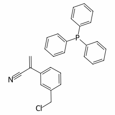 C=C(C#N)c1cccc(CCl)c1.c1ccc(P(c2ccccc2)c2ccccc2)cc1